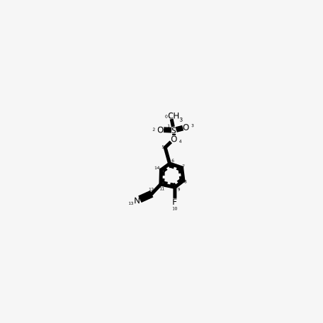 CS(=O)(=O)OCc1ccc(F)c(C#N)c1